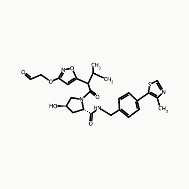 Cc1ncsc1-c1ccc(CNC(=O)[C@@H]2C[C@@H](O)CN2C(=O)C(c2cc(OCC=O)no2)C(C)C)cc1